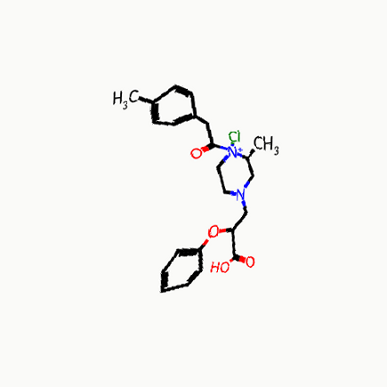 Cc1ccc(CC(=O)[N+]2(Cl)CCN(CC(Oc3ccccc3)C(=O)O)C[C@@H]2C)cc1